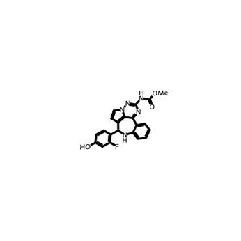 COC(=O)Nc1nc2c3c(ccn3n1)C(c1ccc(O)cc1F)Nc1ccccc1-2